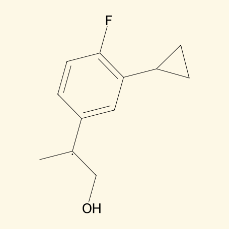 C[C](CO)c1ccc(F)c(C2CC2)c1